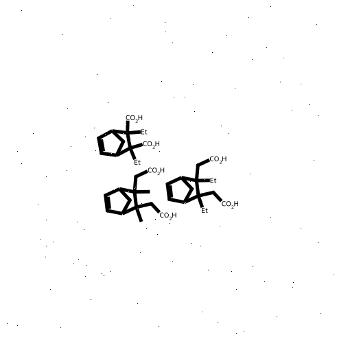 CC1(CC(=O)O)C2C=CC(C2)C1(C)CC(=O)O.CCC1(C(=O)O)C2C=CC(C2)C1(CC)C(=O)O.CCC1(CC(=O)O)C2C=CC(C2)C1(CC)CC(=O)O